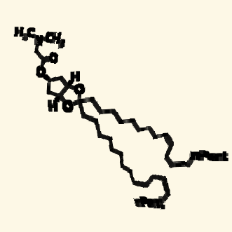 CCCCC/C=C\C/C=C\CCCCCCCCC1(CCCCCCCC/C=C\C/C=C\CCCCC)O[C@H]2C[C@H](OC(=O)CN(C)C)C[C@H]2O1